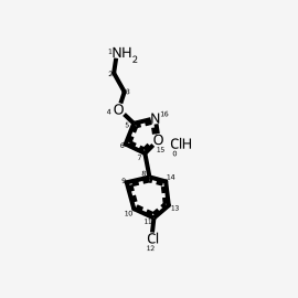 Cl.NCCOc1cc(-c2ccc(Cl)cc2)on1